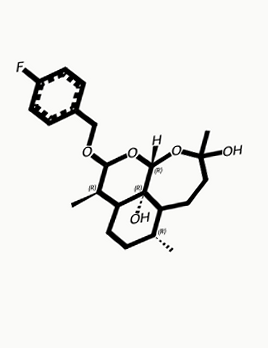 C[C@H]1C(OCc2ccc(F)cc2)O[C@@H]2OC(C)(O)CCC3[C@H](C)CCC1[C@]32O